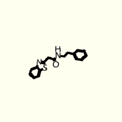 O=C(Cc1nc2ccccc2s1)NCCc1ccccc1